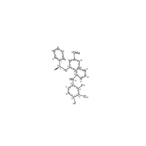 COc1cc(O[C@@H](C)c2ncccn2)c2c(Nc3ccc(F)c(Cl)c3F)ncnc2c1